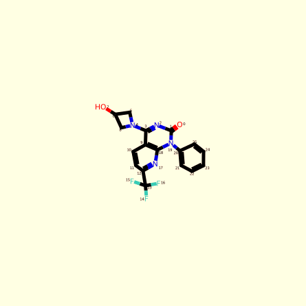 O=c1nc(N2CC(O)C2)c2ccc(C(F)(F)F)nc2n1-c1ccccc1